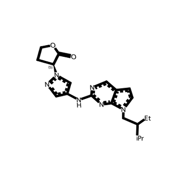 CCC(Cn1ccc2cnc(Nc3cnn([C@H]4CCOC4=O)c3)nc21)C(C)C